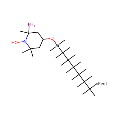 CCCCCC(C)(C)C(C)(C)C(C)(C)C(C)(C)C(C)(C)C(C)(C)[Si](C)(C)OC1CC(C)(C)N(O)C(C)(P)C1